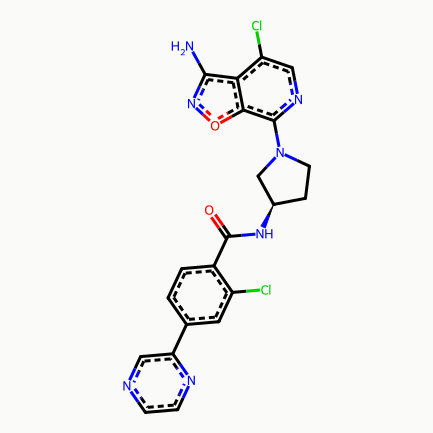 Nc1noc2c(N3CC[C@@H](NC(=O)c4ccc(-c5cnccn5)cc4Cl)C3)ncc(Cl)c12